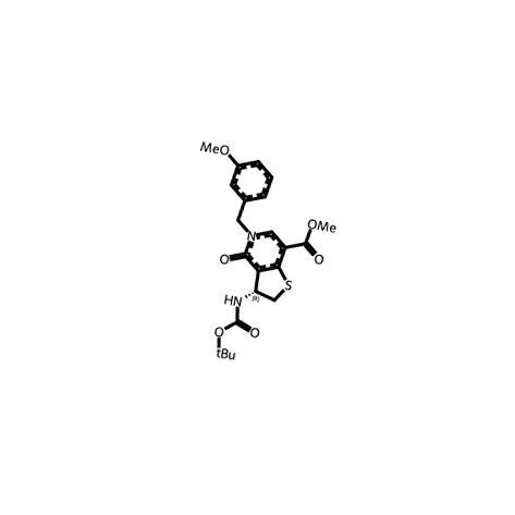 COC(=O)c1cn(Cc2cccc(OC)c2)c(=O)c2c1SC[C@@H]2NC(=O)OC(C)(C)C